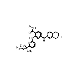 C=CC(C)(C)c1cccc(Nc2nc(Nc3ccc4c(c3)CNCC4)ncc2C(=O)NCC)n1